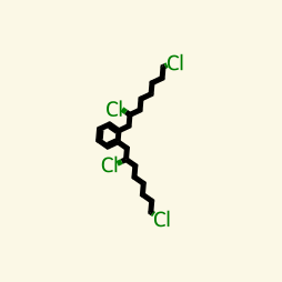 ClCCCCCCC(Cl)Cc1ccccc1CC(Cl)CCCCCCCl